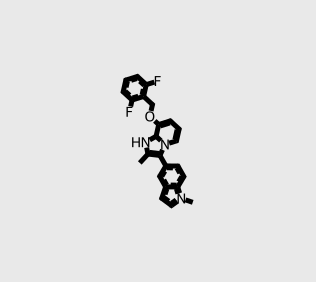 CC1=C(c2ccc3c(ccn3C)c2)N2C=CC=C(OCc3c(F)cccc3F)C2N1